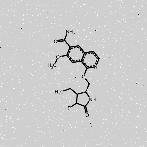 CCC1C(F)C(=O)N[C@@H]1COc1nccc2cc(C(N)=O)c(OC)cc12